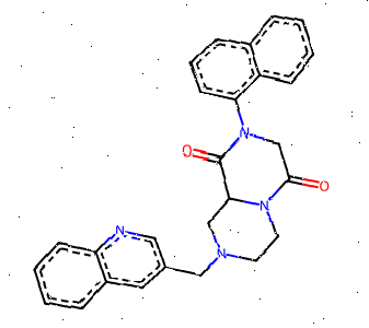 O=C1C2CN(Cc3cnc4ccccc4c3)CCN2C(=O)CN1c1cccc2ccccc12